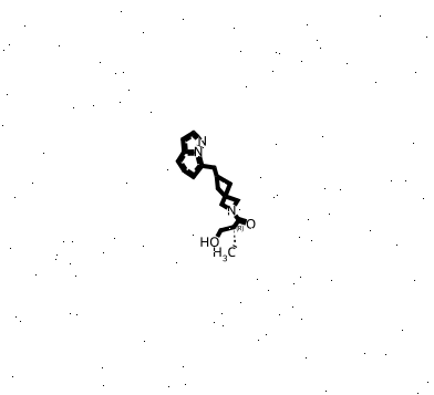 CC[C@H](CO)C(=O)N1CC2(CC(Cc3cccc4ccnn34)C2)C1